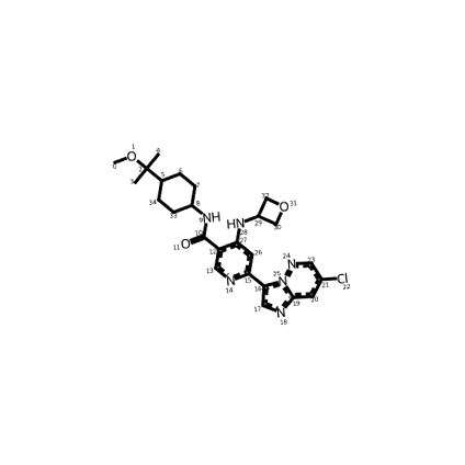 COC(C)(C)C1CCC(NC(=O)c2cnc(-c3cnc4cc(Cl)cnn34)cc2NC2COC2)CC1